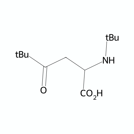 CC(C)(C)NC(CC(=O)C(C)(C)C)C(=O)O